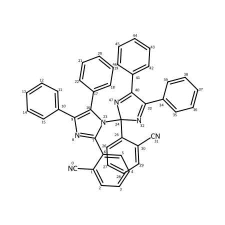 N#Cc1ccccc1-c1nc(-c2ccccc2)c(-c2ccccc2)n1C1(c2ccccc2C#N)N=C(c2ccccc2)C(c2ccccc2)=N1